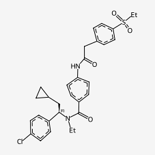 CCN(C(=O)c1ccc(NC(=O)Cc2ccc(S(=O)(=O)CC)cc2)cc1)[C@H](CC1CC1)c1ccc(Cl)cc1